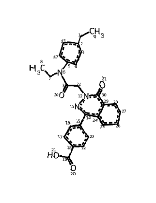 CCc1ccc(N(CC)C(=O)Cn2nc(-c3ccc(C(=O)O)cc3)c3ccccc3c2=O)cc1